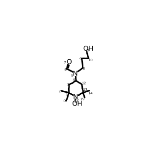 CC1(C)CC(N(C=O)CCCO)CC(C)(C)N1O